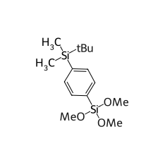 CO[Si](OC)(OC)c1ccc([Si](C)(C)C(C)(C)C)cc1